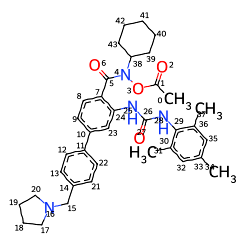 CC(=O)ON(C(=O)c1ccc(-c2ccc(CN3CCCC3)cc2)cc1NC(=O)Nc1c(C)cc(C)cc1C)C1CCCCC1